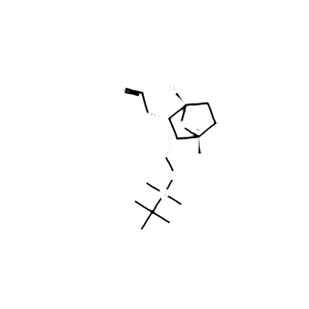 CC(C)(C)[Si](C)(C)OC[C@@H]1[C@H](CC=O)[C@@H]2CC[C@H]1O2